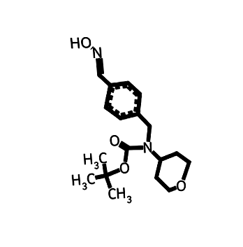 CC(C)(C)OC(=O)N(Cc1ccc(C=NO)cc1)C1CCOCC1